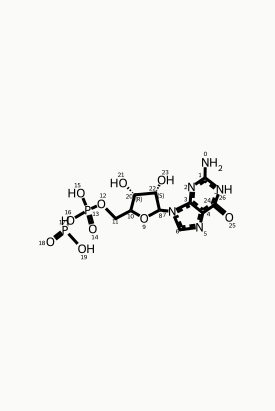 Nc1nc2c(ncn2C2OC(COP(=O)(O)O[PH](=O)O)[C@H](O)[C@@H]2O)c(=O)[nH]1